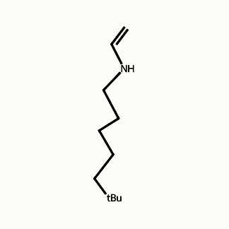 C=CNCCCCCC(C)(C)C